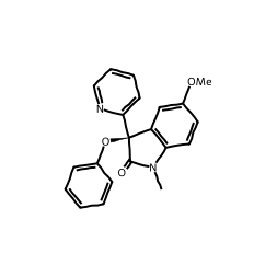 COc1ccc2c(c1)[C@@](Oc1ccccc1)(c1ccccn1)C(=O)N2C